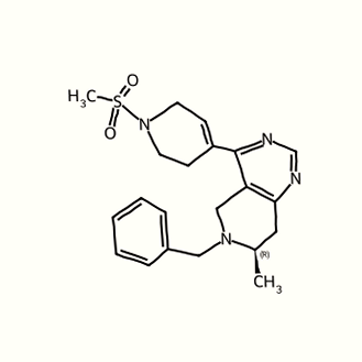 C[C@@H]1Cc2ncnc(C3=CCN(S(C)(=O)=O)CC3)c2CN1Cc1ccccc1